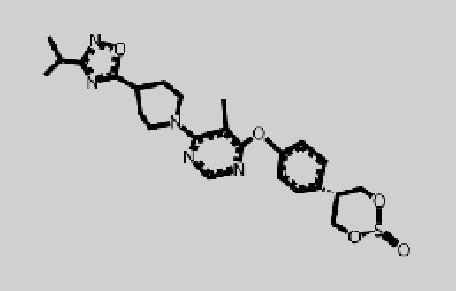 Cc1c(Oc2ccc([C@H]3CO[S@](=O)OC3)cc2)ncnc1N1CCC(c2nc(C(C)C)no2)CC1